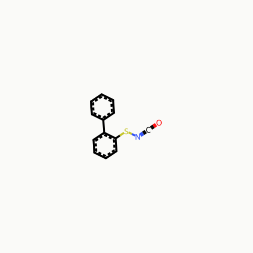 O=C=NSc1ccccc1-c1ccccc1